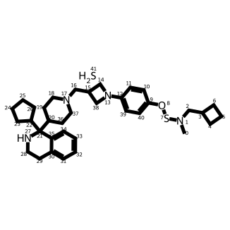 CN(CC1CCC1)SOc1ccc(N2CC(CN3CCC(C4(C5CCCC5)NCCc5ccccc54)CC3)C2)cc1.S